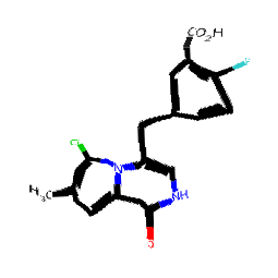 Cc1cc2c(=O)[nH]cc(Cc3ccc(F)c(C(=O)O)c3)n2c1Cl